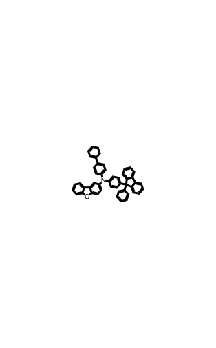 C1=CCCC(c2ccc(N(c3ccc(C4(c5ccccc5)c5ccccc5-c5ccccc54)cc3)c3ccc4oc5ccccc5c4c3)cc2)=C1